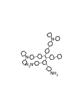 Nc1ccc(-c2cc(C(=C(c3ccc(-c4ccc(N(c5ccccc5)c5ccccc5)cc4)cc3)c3ccc(-c4ccc(N(c5ccccc5)c5ccccc5)cc4)cc3)c3ccc(-c4ccccc4)cc3)cc(-c3ccc(N)cc3)c2)cc1